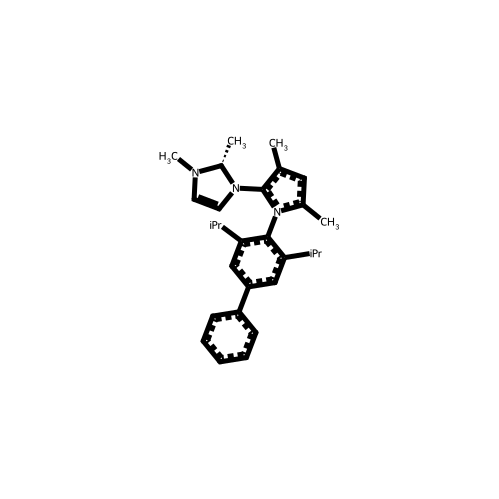 Cc1cc(C)n(-c2c(C(C)C)cc(-c3ccccc3)cc2C(C)C)c1N1C=CN(C)[C@@H]1C